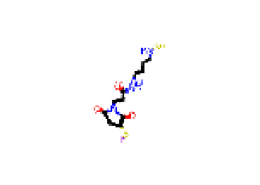 O=C(CCN1C(=O)CC(SI)C1=O)NCCCCNS